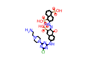 NCCN1CCN(c2nc(Cl)nc(Nc3ccc4c(c3)C=C(S(=O)(=O)O)/C(=N\Nc3ccc5c(S(=O)(=O)O)cccc5c3S(=O)(=O)O)C4=O)n2)CC1